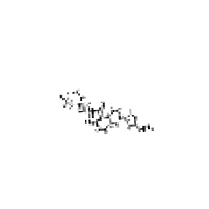 NC1CCN(c2ccc3c(C(=O)NCC4(O)CCCC(F)(F)C4)c(Cl)ccc3n2)C1